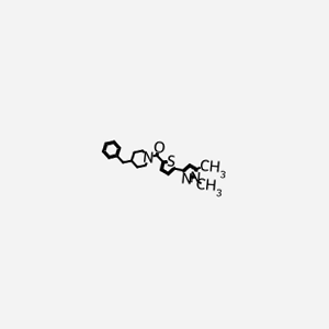 Cc1cc(-c2ccc(C(=O)N3CCC(Cc4ccccc4)CC3)s2)nn1C